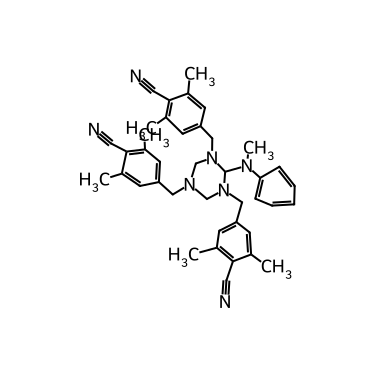 Cc1cc(CN2CN(Cc3cc(C)c(C#N)c(C)c3)C(N(C)c3ccccc3)N(Cc3cc(C)c(C#N)c(C)c3)C2)cc(C)c1C#N